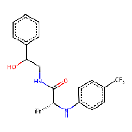 CC(C)[C@@H](Nc1ccc(C(F)(F)F)cc1)C(=O)NCC(O)c1ccccc1